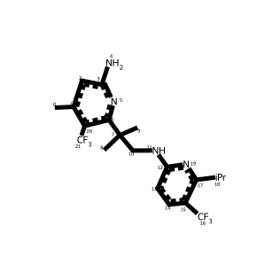 Cc1cc(N)nc(C(C)(C)CNc2ccc(C(F)(F)F)c(C(C)C)n2)c1C(F)(F)F